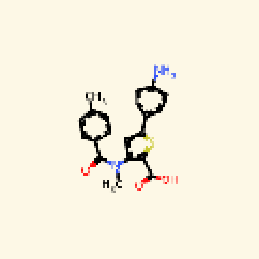 Cc1ccc(C(=O)N(C)c2cc(-c3ccc(N)cc3)sc2C(=O)O)cc1